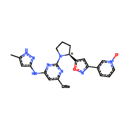 COc1cc(Nc2cc(C)[nH]n2)nc(N2CCC[C@H]2c2cc(-c3ccc[n+]([O-])c3)no2)n1